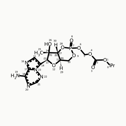 CC(C)OC(=O)OCOP1(=O)OC[C@H]2O[C@@H](c3cnc4c(N)ncnn34)[C@](C)(O)[C@@H]2O1